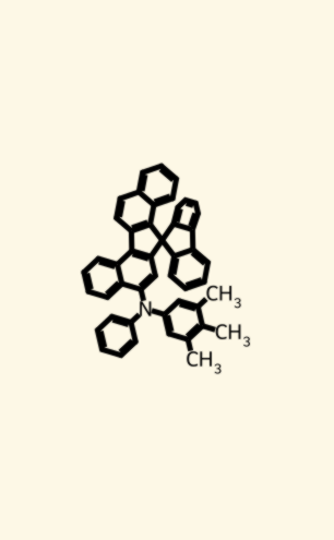 Cc1cc(N(c2ccccc2)c2cc3c(c4ccccc24)-c2ccc4ccccc4c2C32c3ccccc3-c3ccccc32)cc(C)c1C